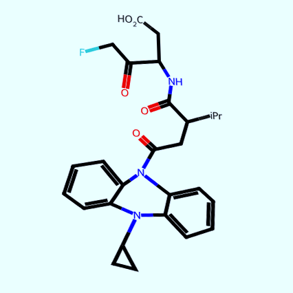 CC(C)C(CC(=O)N1c2ccccc2N(C2CC2)c2ccccc21)C(=O)NC(CC(=O)O)C(=O)CF